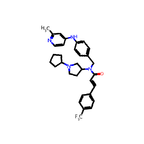 Cc1cc(Nc2ccc(CN(C(=O)C=Cc3ccc(C(F)(F)F)cc3)C3CCN(C4CCCC4)C3)cc2)ccn1